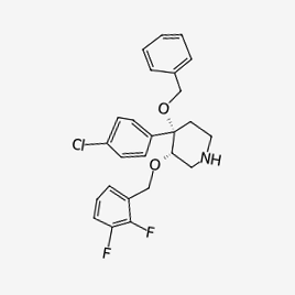 Fc1cccc(CO[C@H]2CNCC[C@]2(OCc2ccccc2)c2ccc(Cl)cc2)c1F